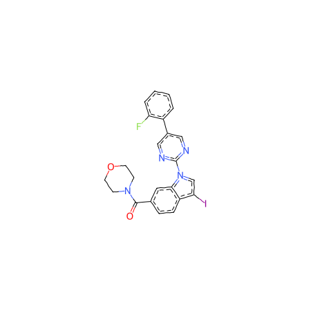 O=C(c1ccc2c(I)cn(-c3ncc(-c4ccccc4F)cn3)c2c1)N1CCOCC1